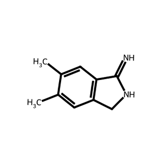 Cc1cc2c(cc1C)C(=N)NC2